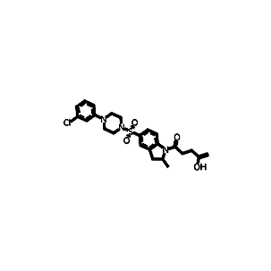 C=C(O)CCC(=O)N1c2ccc(S(=O)(=O)N3CCN(c4cccc(Cl)c4)CC3)cc2CC1C